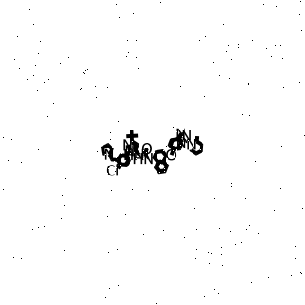 CC1CCCCN1c1nnc2ccc(O[C@@H]3CC[C@H](NC(=O)Nc4cc(C(C)(C)C)nn4-c4ccc(Cl)c(CN5CCCC5)c4)c4ccccc43)cn12